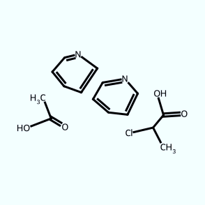 CC(=O)O.CC(Cl)C(=O)O.c1ccncc1.c1ccncc1